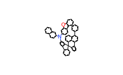 c1ccc(-c2ccc3c4c(cccc24)C2(c4ccccc4-c4ccc(N(c5ccc6ccccc6c5)c5ccc6c(c5)oc5ccccc56)cc42)c2ccccc2-3)cc1